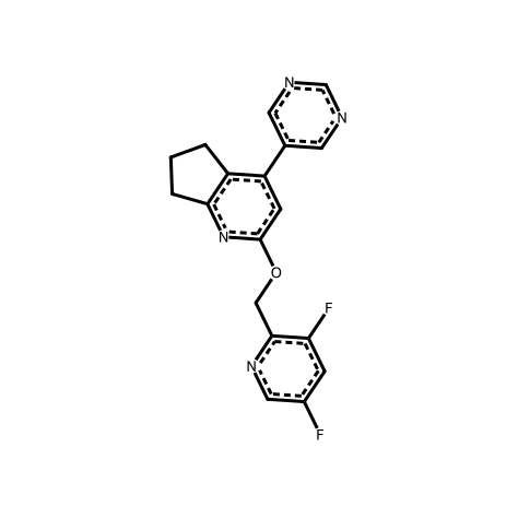 Fc1cnc(COc2cc(-c3cncnc3)c3c(n2)CCC3)c(F)c1